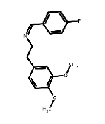 COc1ccc(CC/N=C\c2ccc(F)cc2)cc1OC